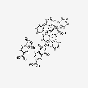 O=C(O)c1ccc2c(c1)C(=O)OC2=O.O=C(O)c1ccc2c(c1)C(=O)OC2=O.Oc1ccc(C2(c3ccc(O)c(-c4ccccc4)c3)c3ccccc3-c3ccccc32)cc1-c1ccccc1